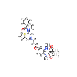 CCN1C(=O)C(C)(C)C(=O)N(C)c2cc(OCCCN(CCn3ccc4ccccc4c3=O)Cc3cccs3)ccc21